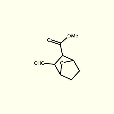 COC(=O)C1C2CCC(O2)C1C=O